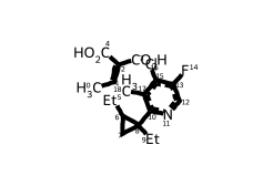 CC=C(C(=O)O)C(=O)O.CCC1CC1(CC)c1ncc(F)c(Cl)c1C